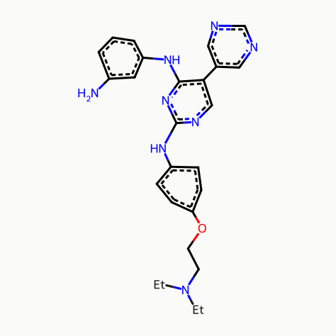 CCN(CC)CCOc1ccc(Nc2ncc(-c3cncnc3)c(Nc3cccc(N)c3)n2)cc1